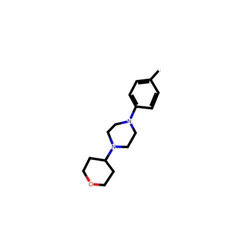 [CH2]c1ccc(N2CCN(C3CCOCC3)CC2)cc1